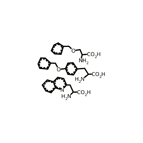 NC(COCc1ccccc1)C(=O)O.NC(Cc1ccc(OCc2ccccc2)cc1)C(=O)O.NC(Cc1ccc2ccccc2n1)C(=O)O